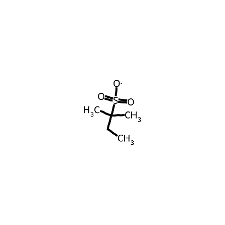 CCC(C)(C)S([O])(=O)=O